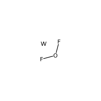 FOF.[W]